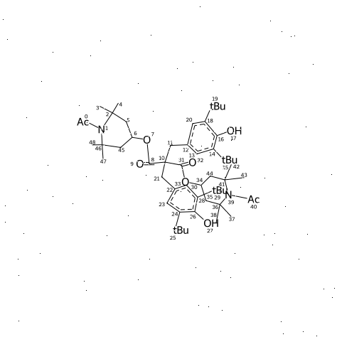 CC(=O)N1C(C)(C)CC(OC(=O)C(Cc2cc(C(C)(C)C)c(O)c(C(C)(C)C)c2)(Cc2cc(C(C)(C)C)c(O)c(C(C)(C)C)c2)C(=O)OC2CC(C)(C)N(C(C)=O)C(C)(C)C2)CC1(C)C